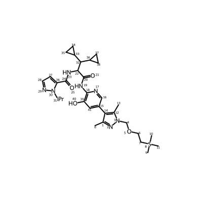 Cc1nn(COCCS(C)(C)C)c(C)c1-c1cnc(NC(=O)C(NC(=O)c2ccnn2C(C)C)C(C2CC2)C2CC2)c(O)c1